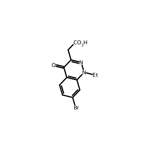 CCn1nc(CC(=O)O)c(=O)c2ccc(Br)cc21